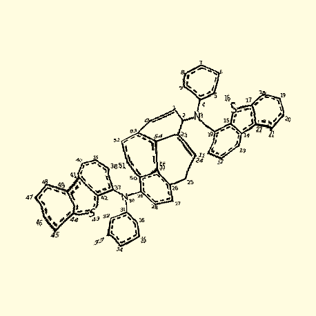 C1=CC(N(c2ccccc2)c2cccc3c2sc2ccccc23)C2=CCc3ccc(N(c4ccccc4)c4cccc5c4sc4ccccc45)c4ccc1c2c34